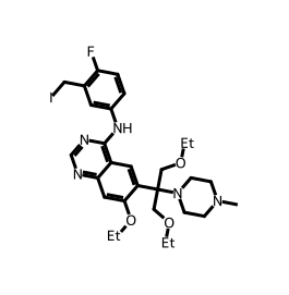 CCOCC(COCC)(c1cc2c(Nc3ccc(F)c(CI)c3)ncnc2cc1OCC)N1CCN(C)CC1